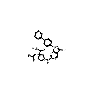 CNC(=O)[C@]1(CC(F)F)CC[C@@H](Nc2ncc3c(Br)nn(-c4ccc(-c5cnccn5)cc4)c3n2)C1